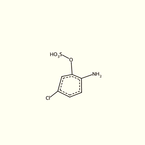 Nc1ccc(Cl)cc1OS(=O)(=O)O